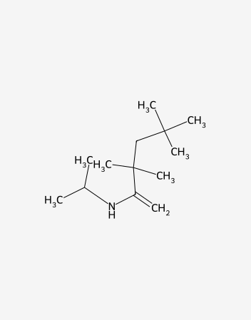 C=C(NC(C)C)C(C)(C)CC(C)(C)C